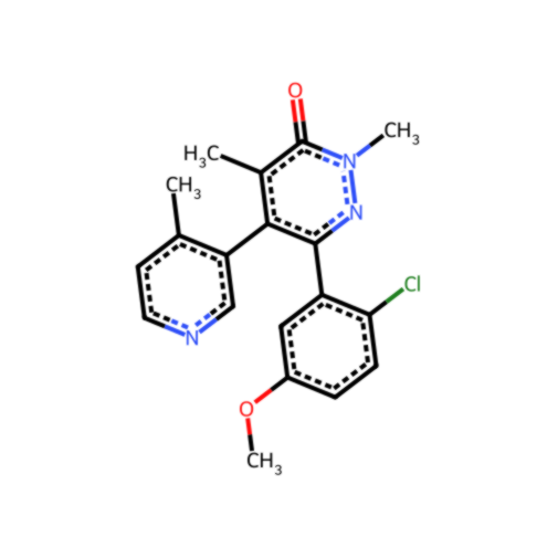 COc1ccc(Cl)c(-c2nn(C)c(=O)c(C)c2-c2cnccc2C)c1